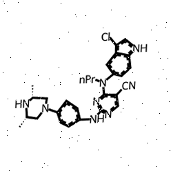 CCCN(c1ccc2[nH]cc(Cl)c2c1)c1nc(Nc2ccc(N3C[C@@H](C)N[C@@H](C)C3)cc2)ncc1C#N